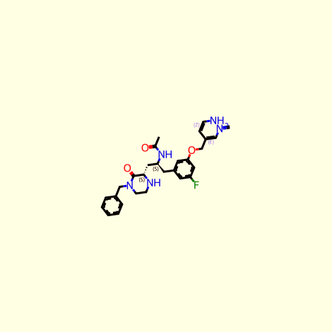 C=N/C=C(\C=C/N)COc1cc(F)cc(C[C@@H](C[C@@H]2NCCN(Cc3ccccc3)C2=O)NC(C)=O)c1